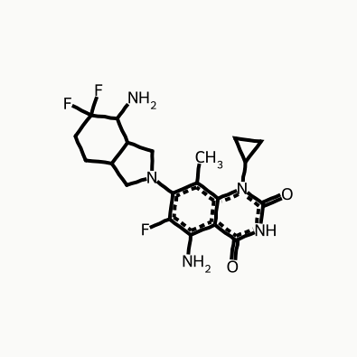 Cc1c(N2CC3CCC(F)(F)C(N)C3C2)c(F)c(N)c2c(=O)[nH]c(=O)n(C3CC3)c12